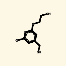 OCCOc1cc(CS)cc(Cl)n1